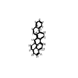 c1ccc2c(c1)ccc1c2ccc2c1cc1ccc3cccc4ccc2c1c34